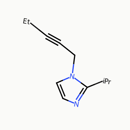 CCC#CCn1ccnc1C(C)C